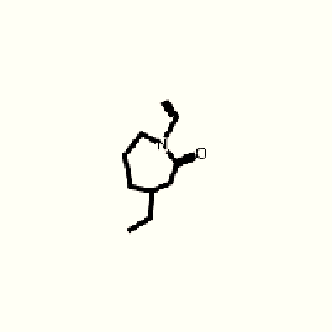 C=CN1CCCC(CC)CC1=O